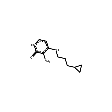 O=c1[nH]ccc(NCCCC2CC2)c1[N+](=O)[O-]